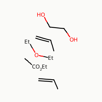 C=CC.C=CC.CCOC(C)=O.CCOCC.OCCO